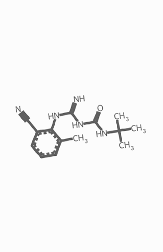 Cc1cccc(C#N)c1NC(=N)NC(=O)NC(C)(C)C